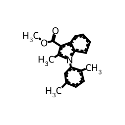 COC(=O)c1c(C)n(-c2cc(C)ccc2C)c2ccccc12